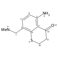 CNCc1ccc(N)c2c1SCCC2=O